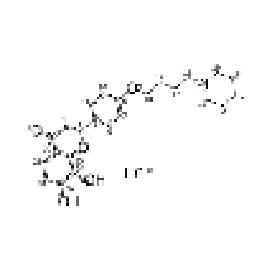 Cl.O=c1cc(-c2ccc(OCCCCN3CCCCC3)cc2)oc2c(O)c(O)ccc12